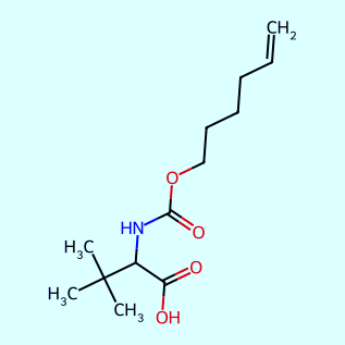 C=CCCCCOC(=O)NC(C(=O)O)C(C)(C)C